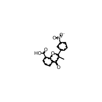 Cc1c(-c2cccc([N+](=O)[O-])c2)oc2c(C(=O)O)cccc2c1=O